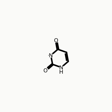 O=C1C=CNC(=O)[N]1